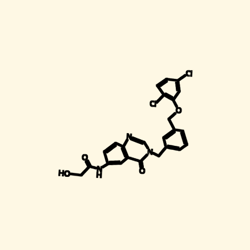 O=C(CO)Nc1ccc2ncn(Cc3cccc(COc4cc(Cl)ccc4Cl)c3)c(=O)c2c1